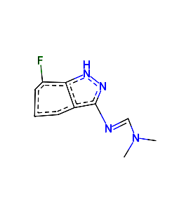 CN(C)C=Nc1n[nH]c2c(F)cccc12